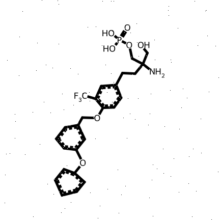 NC(CO)(CCc1ccc(OCc2cccc(Oc3ccccc3)c2)c(C(F)(F)F)c1)COP(=O)(O)O